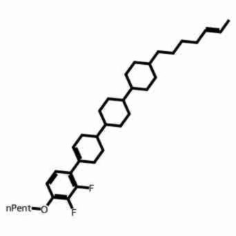 C/C=C/CCCCC1CCC(C2CCC(C3CC=C(c4ccc(OCCCCC)c(F)c4F)CC3)CC2)CC1